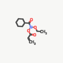 C=CC(=O)ON(OCC)C(=O)C1CCCCC1